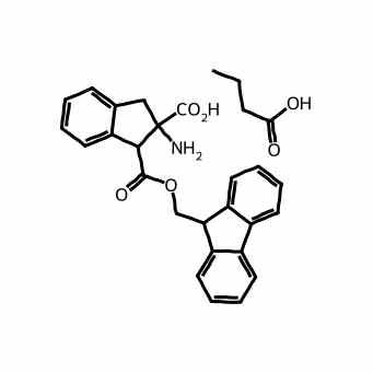 CCCC(=O)O.NC1(C(=O)O)Cc2ccccc2C1C(=O)OCC1c2ccccc2-c2ccccc21